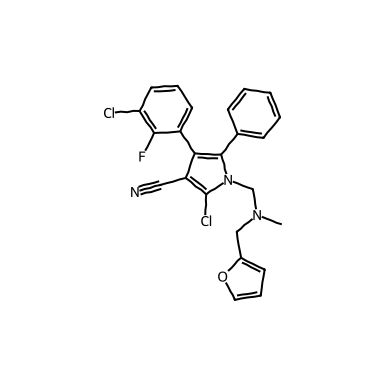 CN(Cc1ccco1)Cn1c(Cl)c(C#N)c(-c2cccc(Cl)c2F)c1-c1ccccc1